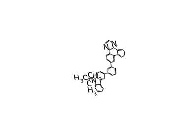 CC(C)(C)n1c2ccccc2c2cc(-c3cccc(-c4ccc5c(c4)c4ccccc4c4nccnc54)c3)ccc21